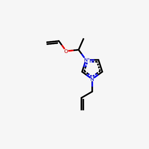 C=CCn1cc[n+](C(C)OC=C)c1